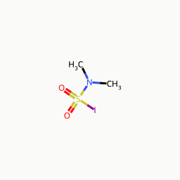 CN(C)S(=O)(=O)I